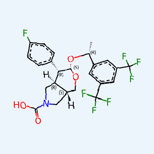 C[C@@H](O[C@@H]1OC[C@@H]2CN(C(=O)O)C[C@H]2[C@@H]1c1ccc(F)cc1)c1cc(C(F)(F)F)cc(C(F)(F)F)c1